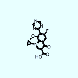 COc1c(-c2ncncn2)c(F)cc2c(=O)c(C(=O)O)cn(C3CC3)c12